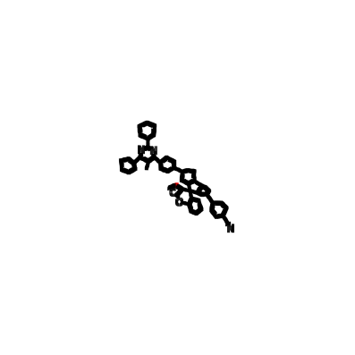 Cc1c(-c2ccccc2)nc(-c2ccccc2)nc1-c1ccc(-c2ccc3c(c2)C2(c4ccccc4Oc4ccccc42)c2cc(-c4ccc(C#N)cc4)ccc2-3)cc1